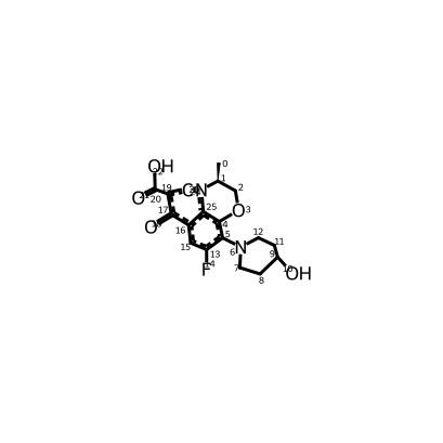 C[C@H]1COc2c(N3CCC(O)CC3)c(F)cc3c(=O)c(C(=O)O)cn1c23